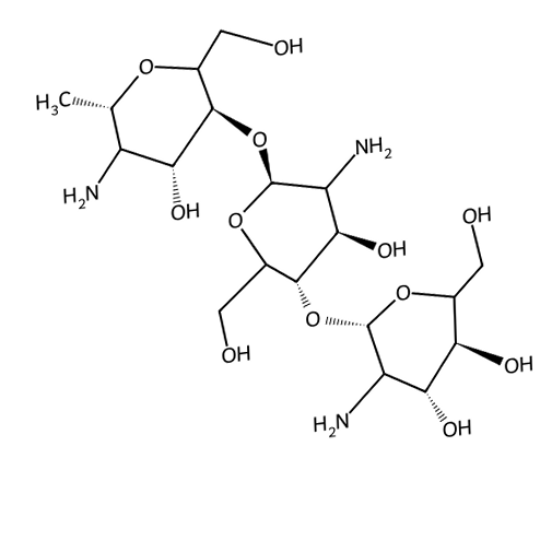 C[C@@H]1OC(CO)[C@@H](O[C@@H]2OC(CO)[C@@H](O[C@@H]3OC(CO)[C@@H](O)[C@H](O)C3N)[C@H](O)C2N)[C@H](O)C1N